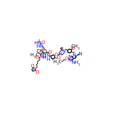 CCCCOc1nc(N)c2cc(C#N)n(Cc3ccc(CN4CCN(C(=O)OCc5ccc(NC(=O)[C@H](CCCNC(=O)NI)NC(=O)[C@@H](NC(=O)CCCCCN6C(=O)C=CC6=O)C(C)C)cc5)CC45CC5)cc3OC)c2n1